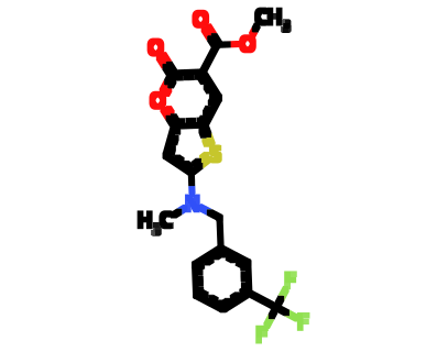 COC(=O)c1cc2sc(N(C)Cc3cccc(C(F)(F)F)c3)cc2oc1=O